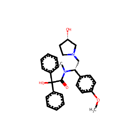 COc1ccc([C@@H](CN2CC[C@H](O)C2)N(C)C(=O)C(O)(c2ccccc2)c2ccccc2)cc1